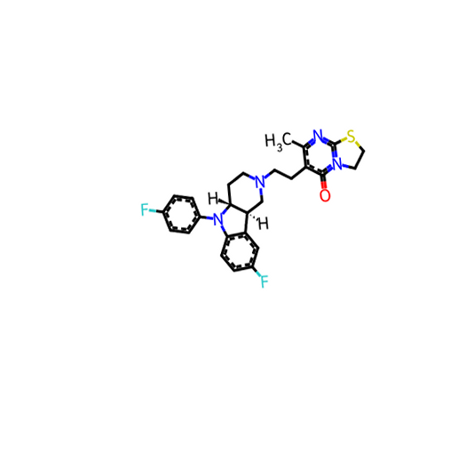 Cc1nc2n(c(=O)c1CCN1CC[C@@H]3[C@@H](C1)c1cc(F)ccc1N3c1ccc(F)cc1)CCS2